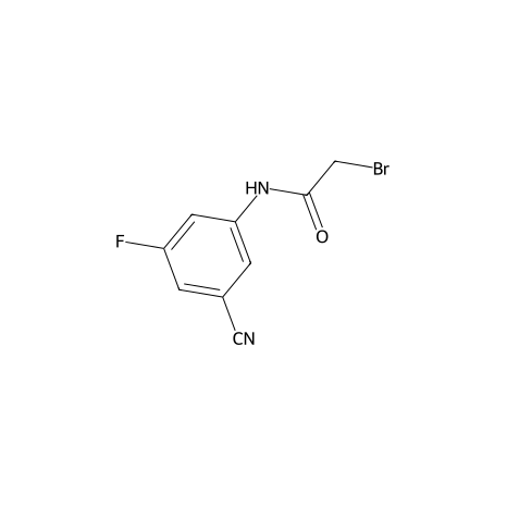 N#Cc1cc(F)cc(NC(=O)CBr)c1